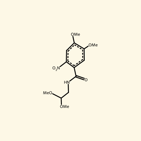 COc1cc(C(=O)NCC(OC)OC)c([N+](=O)[O-])cc1OC